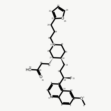 COc1ccc2nccc([C@H](F)CC[C@@H]3CCN(CCCc4ccco4)C[C@H]3CCC(=O)O)c2c1